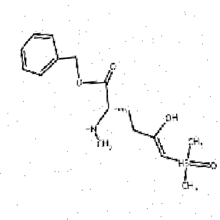 CN[C@@H](CC/C(O)=C/[SH](C)(C)=O)C(=O)OCc1ccccc1